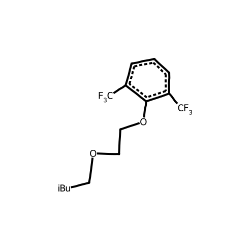 CCC(C)COCCOc1c(C(F)(F)F)cccc1C(F)(F)F